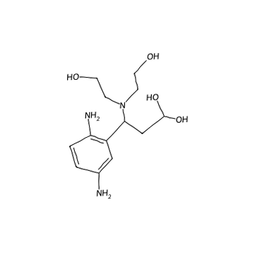 Nc1ccc(N)c(C(CC(O)O)N(CCO)CCO)c1